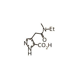 CCN(C)C(=O)Cc1cn[nH]c1C(=O)O